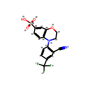 N#Cc1cc(C(F)(F)F)ccc1N1CCOc2cc(S(=O)(=O)O)ccc21